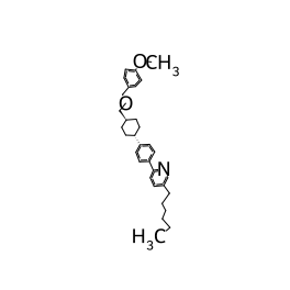 CCCCCCc1ccc(-c2ccc([C@H]3CC[C@H](COCc4ccc(OC)cc4)CC3)cc2)nc1